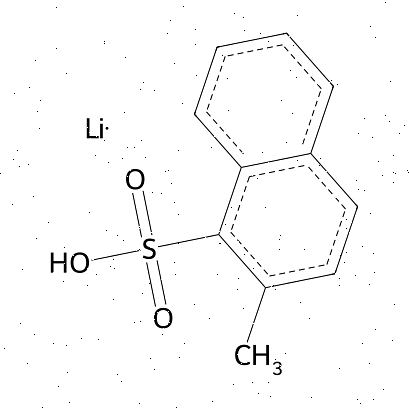 Cc1ccc2ccccc2c1S(=O)(=O)O.[Li]